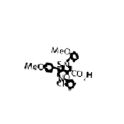 COc1ccc(-c2sc3c(c2CN(C)Cc2ccccc2)c(=O)c(C(=O)O)cn3Cc2ccccc2OC)cc1